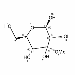 CO[C@]1(O)[C@H](O)[C@@H](CO)O[C@@H](O)[C@@H]1O